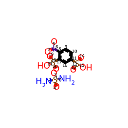 NS(N)(=O)=O.O=I(=O)c1ccc(S(=O)(=O)O)cc1S(=O)(=O)O